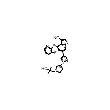 CC(C)(O)CN1CC[C@H](n2cc(-c3cc(Sc4ncccc4F)c4c(C#N)cnn4c3)cn2)C1